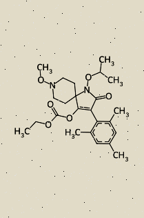 CCOC(=O)OC1=C(c2c(C)cc(C)cc2C)C(=O)N(OC(C)C)C12CCN(OC)CC2